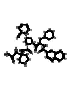 NC(=O)C(=O)C1(NC(=O)[C@@H]2C[C@H](n3ncccc3=O)CN2C(=O)[C@@H](CC2CCCCC2)NC(=O)c2ccc3ccccc3c2)CCOCC1